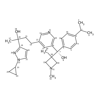 CC(C)c1ccc([C@](O)(c2cncc(CCC(C)(O)c3ccn(C4CC4)n3)c2)C2(C)CN(C)C2)cc1